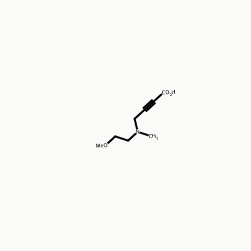 COCCN(C)CC#CC(=O)O